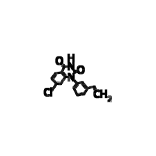 C=Cc1cccc(-n2c(=O)[nH]c(=O)c3ccc(Cl)cc32)c1